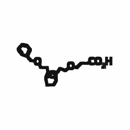 O=C(O)CCCOCCC1C2CCC(O2)C1CCOCc1ccccc1